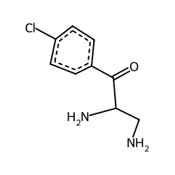 NCC(N)C(=O)c1ccc(Cl)cc1